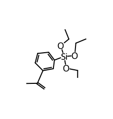 C=C(C)c1cccc([Si](OCC)(OCC)OCC)c1